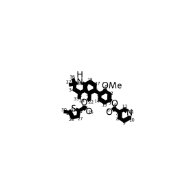 COc1cc(OC(=O)c2cccnc2)ccc1-c1ccc2c(c1COC(=O)C1CC=C(C)S1)C(C)=CC(C)(C)N2